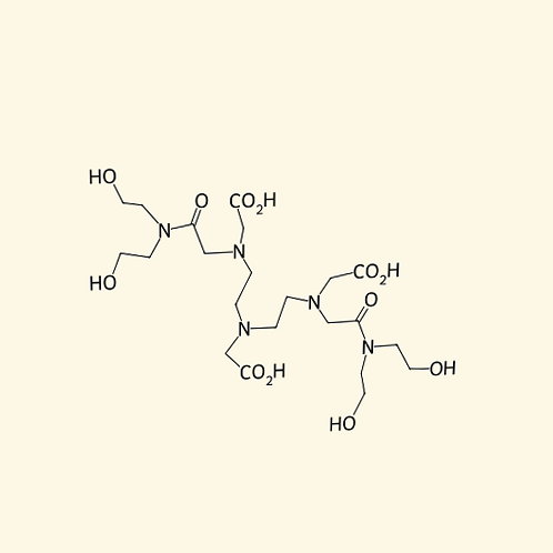 O=C(O)CN(CCN(CC(=O)O)CC(=O)N(CCO)CCO)CCN(CC(=O)O)CC(=O)N(CCO)CCO